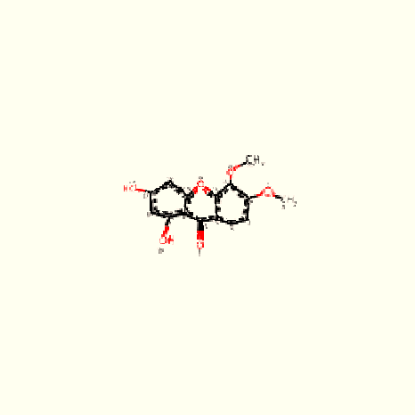 COc1ccc2c(=O)c3c(O)cc(O)cc3oc2c1OC